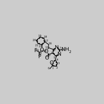 Cc1ccc(-c2nc(N)nc3c2C(=O)OC3Cc2ccccc2OC(F)F)o1